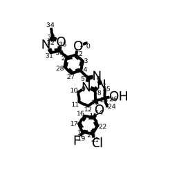 COc1cc(-c2nnc3n2CCCC3(Oc2ccc(F)c(Cl)c2)C(C)(C)O)ccc1-c1cnc(C)o1